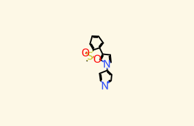 CS(=O)(=O)c1ccccc1-c1ccn(-c2ccncc2)c1